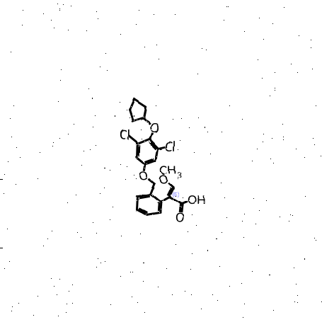 CO/C=C(/C(=O)O)c1ccccc1COc1cc(Cl)c(OC2CCCC2)c(Cl)c1